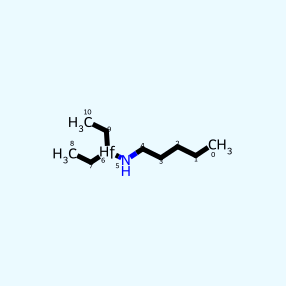 CCCCC[NH][Hf]([CH2]C)[CH2]C